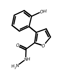 NNC(=O)c1occc1-c1ccccc1O